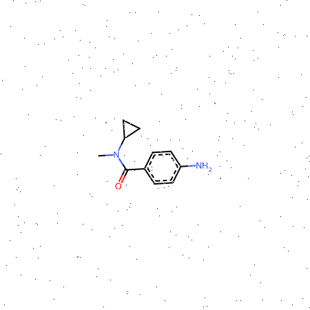 CN(C(=O)c1ccc(N)cc1)C1CC1